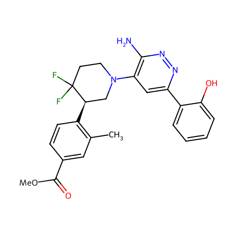 COC(=O)c1ccc([C@@H]2CN(c3cc(-c4ccccc4O)nnc3N)CCC2(F)F)c(C)c1